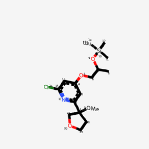 COC1(c2cc(OCC(C)O[Si](C)(C)C(C)(C)C)cc(Cl)n2)CCOC1